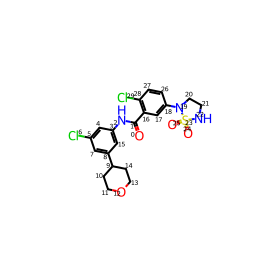 O=C(Nc1cc(Cl)cc(C2CCOCC2)c1)c1cc(N2CCNS2(=O)=O)ccc1Cl